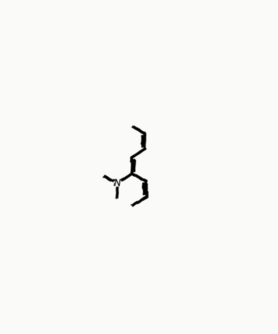 C\C=C/C=C(\C=C/C)N(C)C